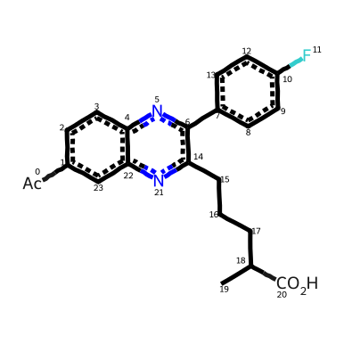 CC(=O)c1ccc2nc(-c3ccc(F)cc3)c(CCCC(C)C(=O)O)nc2c1